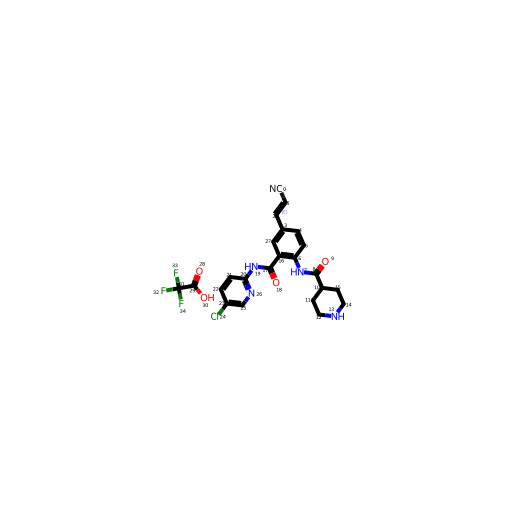 N#C/C=C/c1ccc(NC(=O)C2CCNCC2)c(C(=O)Nc2ccc(Cl)cn2)c1.O=C(O)C(F)(F)F